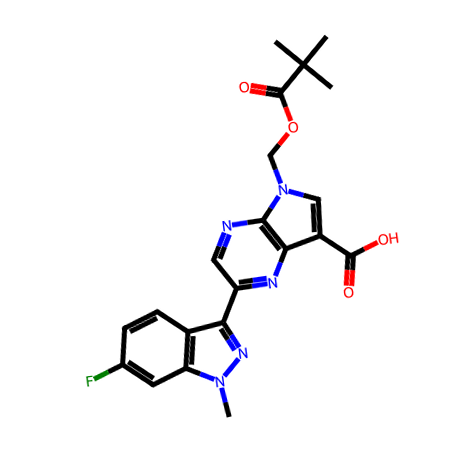 Cn1nc(-c2cnc3c(n2)c(C(=O)O)cn3COC(=O)C(C)(C)C)c2ccc(F)cc21